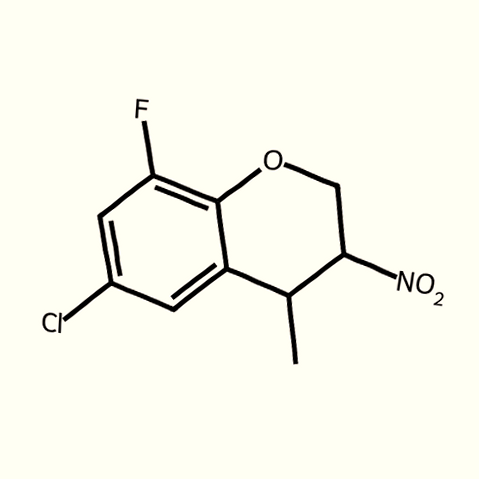 CC1c2cc(Cl)cc(F)c2OCC1[N+](=O)[O-]